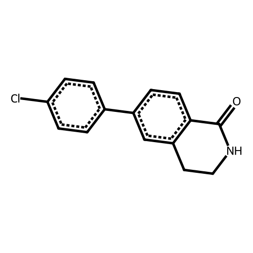 O=C1NCCc2cc(-c3ccc(Cl)cc3)ccc21